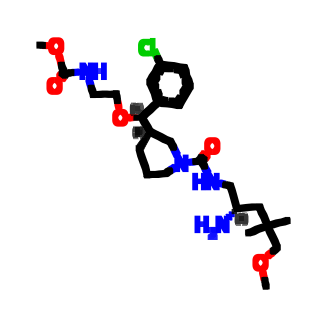 COCC(C)(C)C[C@H](N)CNC(=O)N1CCC[C@@H]([C@@H](OCCNC(=O)OC)c2cccc(Cl)c2)C1